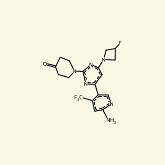 Nc1cc(C(F)(F)F)c(-c2cc(N3CC(F)C3)nc(N3CCC(=O)CC3)n2)cn1